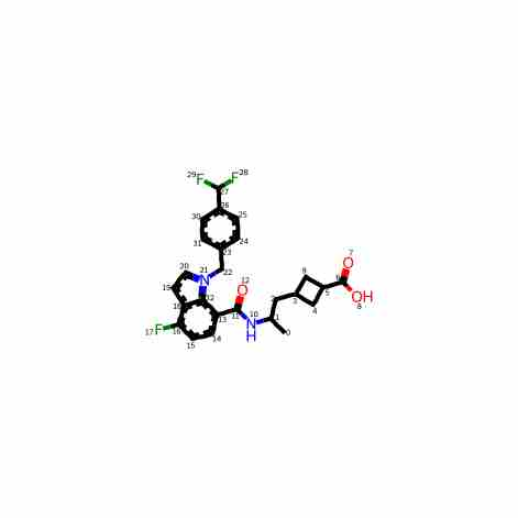 CC(CC1CC(C(=O)O)C1)NC(=O)c1ccc(F)c2ccn(Cc3ccc(C(F)F)cc3)c12